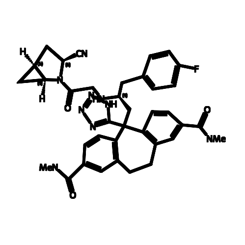 CNC(=O)c1ccc2c(c1)CCc1cc(C(=O)NC)ccc1C2(C[C@H](Cc1ccc(F)cc1)NCC(=O)N1[C@H](C#N)C[C@@H]2C[C@@H]21)c1nnn[nH]1